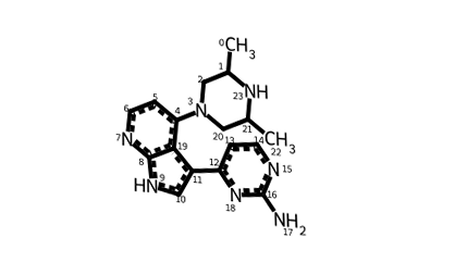 CC1CN(c2ccnc3[nH]cc(-c4ccnc(N)n4)c23)CC(C)N1